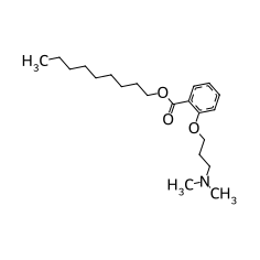 CCCCCCCCCOC(=O)c1ccccc1OCCCN(C)C